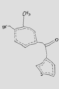 Cc1cc(C(=O)c2ccsc2)ccc1Br